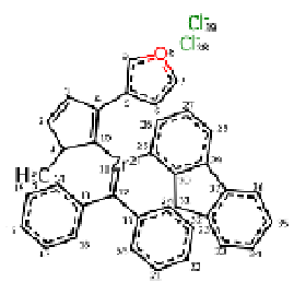 CC1C=CC(c2ccoc2)=[C]1[Zr+2](=[C](c1ccccc1)c1ccccc1)[c]1cccc2c1Cc1ccccc1-2.[Cl-].[Cl-]